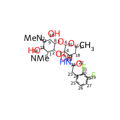 CNC1C2OC3(O)C(OC2[C@@H](O)[C@H](NC)[C@@H]1O)O[C@H](C)C[C@H]3NC(=O)Cc1cccc(F)c1F